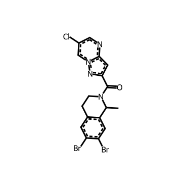 CC1c2cc(Br)c(Br)cc2CCN1C(=O)c1cc2ncc(Cl)cn2n1